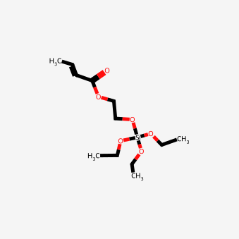 CC=CC(=O)OCCO[Si](OCC)(OCC)OCC